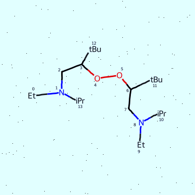 CCN(CC(OOC(CN(CC)C(C)C)C(C)(C)C)C(C)(C)C)C(C)C